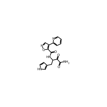 NC(=O)C(=O)C(Cc1cc[nH]c1)NC(=O)c1oncc1-c1ccccn1